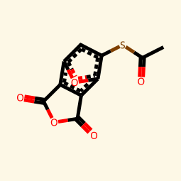 CC(=O)Sc1cc2oc1c1c2C(=O)OC1=O